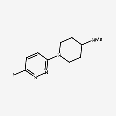 CNC1CCN(c2ccc(I)nn2)CC1